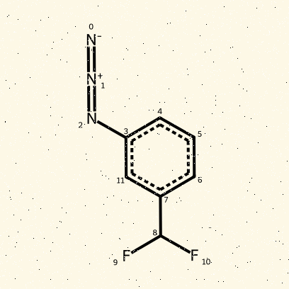 [N-]=[N+]=Nc1cccc(C(F)F)c1